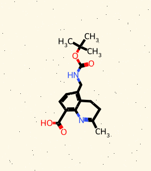 CC1=Nc2c(C(=O)O)ccc(CNC(=O)OC(C)(C)C)c2CC1